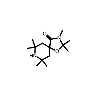 CN1C(=O)C2(CC(C)(C)NC(C)(C)C2)OC1(C)C